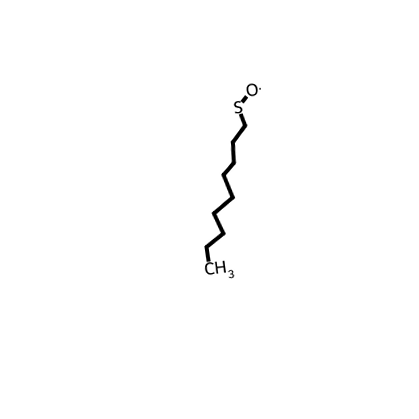 CCCCCCCCCS[O]